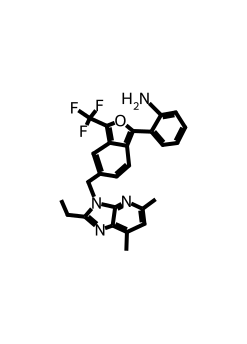 CCc1nc2c(C)cc(C)nc2n1Cc1ccc2c(-c3ccccc3N)oc(C(F)(F)F)c2c1